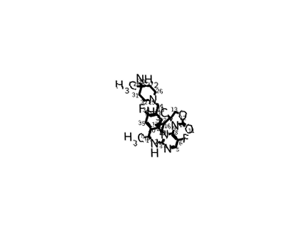 C[C@H](Nc1ncc(F)c(N2C(=O)OCC2(C)C2CC2)n1)c1ccc(CN2CCC(C)(N)CC2)c(F)c1